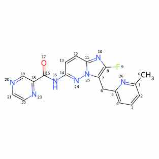 Cc1cccc(Cc2c(F)nc3ccc(NC(=O)c4cnccn4)nn23)n1